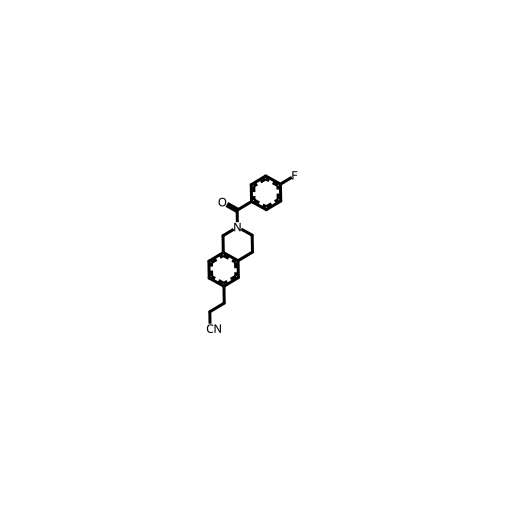 N#CCCc1ccc2c(c1)CCN(C(=O)c1ccc(F)cc1)C2